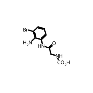 Nc1c(Br)cccc1NC(=O)CNC(=O)O